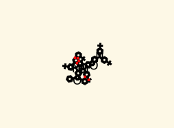 CC(C)(C)c1ccc(N2B3c4cc5c(-c6ccccc6)oc(-c6ccccc6)c5cc4N(c4ccc(C(C)(C)C)cc4-c4ccccc4)c4cc5c(c(c43)-c3cc4c(cc32)oc2cc(N(c3ccc(C(C)(C)C)cc3)c3ccc(C(C)(C)C)cc3)ccc24)C(C)(C)c2ccccc2-5)cc1